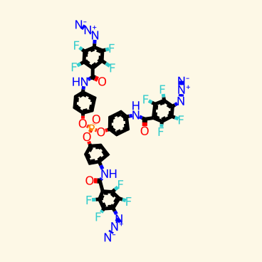 [N-]=[N+]=Nc1c(F)c(F)c(C(=O)Nc2ccc(OP(=O)(Oc3ccc(NC(=O)c4c(F)c(F)c(N=[N+]=[N-])c(F)c4F)cc3)Oc3ccc(NC(=O)c4c(F)c(F)c(N=[N+]=[N-])c(F)c4F)cc3)cc2)c(F)c1F